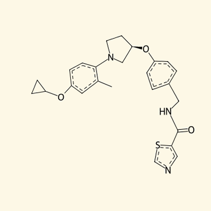 Cc1cc(OC2CC2)ccc1N1CC[C@@H](Oc2ccc(CNC(=O)c3cncs3)cc2)C1